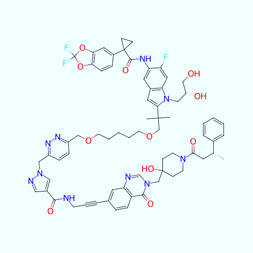 C[C@H](CC(=O)N1CCC(O)(Cn2cnc3cc(C#CCNC(=O)c4cnn(Cc5ccc(COCCCCCOCC(C)(C)c6cc7cc(NC(=O)C8(c9ccc%10c(c9)OC(F)(F)O%10)CC8)c(F)cc7n6C[C@@H](O)CO)nn5)c4)ccc3c2=O)CC1)c1ccccc1